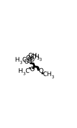 CCOC=CC(CC[Si](OC)(OC)OC)OCC